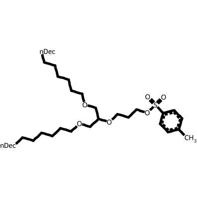 CCCCCCCCCCCCCCCCOCC(COCCCCCCCCCCCCCCCC)OCCCOS(=O)(=O)c1ccc(C)cc1